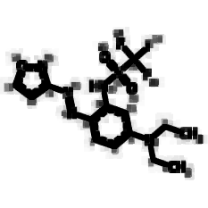 CCN(CC)c1ccc(N=Nc2ccon2)c(NS(=O)(=O)C(F)(F)F)c1